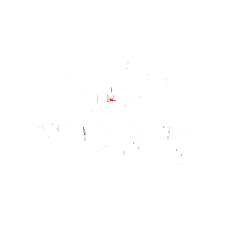 CCC(c1ncc[nH]1)n1c(C)c(C(=O)N[C@H](c2cccc(F)c2)C2CCC2)c2c([C@@H](c3cccc(F)c3C(N)=O)C3CCC3)ccc(F)c2c1=O